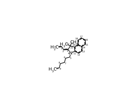 C=C/C=C1/N(CCCCCC)c2ccc3ccccc3c2C1(C)C